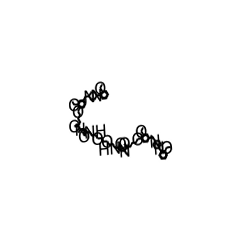 COc1cc(CN2CCN(c3ccccc3OC)CC2)ccc1OCCCC(=O)N(C)CC(=O)NCCOCCOCCNC(=O)CN(C)C(=O)CCCOc1ccc(CN2CCN(c3ccccc3OC)CC2)cc1OC